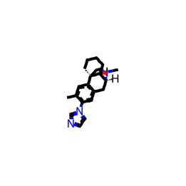 Cc1cc2c(cc1-n1ccnc1)C[C@H]1[C@H]3CCCC[C@@]23CCN1C